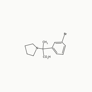 CC(C(=O)O)(c1cccc(Br)c1)N1CCCC1